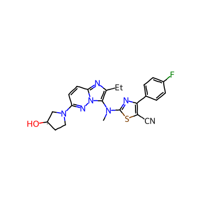 CCc1nc2ccc(N3CC[C](O)C3)nn2c1N(C)c1nc(-c2ccc(F)cc2)c(C#N)s1